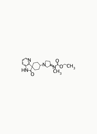 CCOC(=O)N(C)[C@@H]1CCN(C2CCC3(CC2)C(=O)Nc2cccnc23)C1